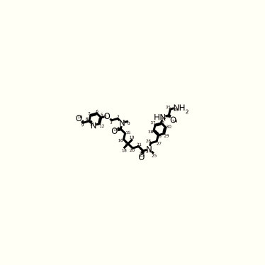 CN(CCOc1ccc(C=O)nc1)C(=O)CCC(C)(C)CCC(=O)N(C)CCc1ccc(NC(=O)CN)cc1